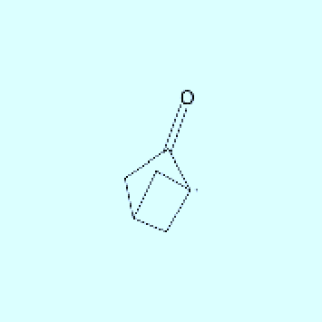 O=C1CC2C[C]1C2